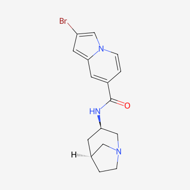 O=C(N[C@@H]1C[C@@H]2CCN(C2)C1)c1ccn2cc(Br)cc2c1